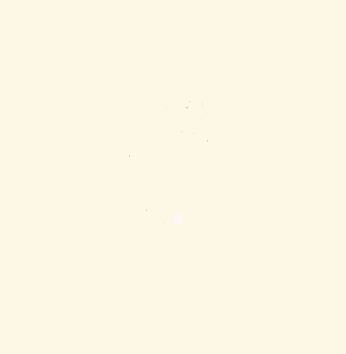 C/C(=C\c1cccc(S(N)(=O)=O)c1)C(=O)O